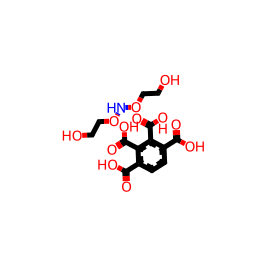 O=C(O)c1ccc(C(=O)O)c(C(=O)O)c1C(=O)O.OCCONOCCO